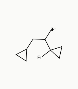 CCC1([C](CC2CC2)C(C)C)CC1